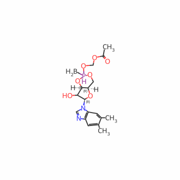 B[PH]1(OCOC(C)=O)OC[C@H]2O[C@@H](n3cnc4cc(C)c(C)cc43)C(O)[C@H]2O1